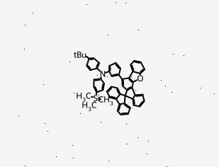 CC(C)(C)c1ccc(N(c2ccc([Si](C)(C)C)cc2)c2cccc(-c3cc4c(c5oc6ccccc6c35)-c3ccccc3C43c4ccccc4-c4ccccc43)c2)cc1